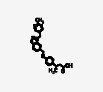 Cc1ccc(Cn2ncc3ccc(COc4ccc(C(C)CC(=O)O)cc4)cc32)cn1